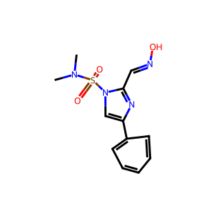 CN(C)S(=O)(=O)n1cc(-c2ccccc2)nc1C=NO